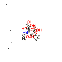 CC(=O)N[C@H]1[C@H]([C@H](O)[C@H](O)CO)O[C@@](Oc2ccccc2)(C(=O)O)C[C@@H]1O